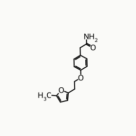 Cc1ccc(CCOc2ccc(CC(N)=O)cc2)o1